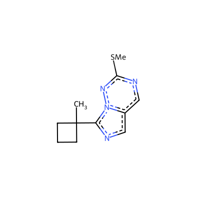 CSc1ncc2cnc(C3(C)CCC3)n2n1